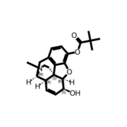 CN1CC[C@]23c4c5ccc(OC(=O)C(C)(C)C)c4O[C@H]2[C@@H](O)C=C[C@H]3[C@H]1C5